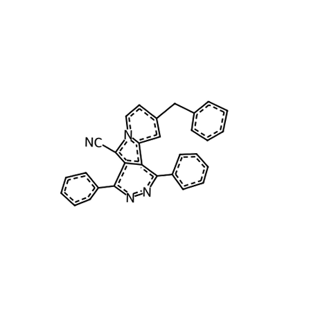 N#Cc1c2c(-c3ccccc3)nnc(-c3ccccc3)c2c2cc(Cc3ccccc3)ccn12